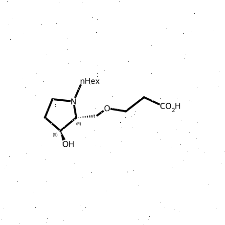 CCCCCCN1CC[C@H](O)[C@H]1COCCC(=O)O